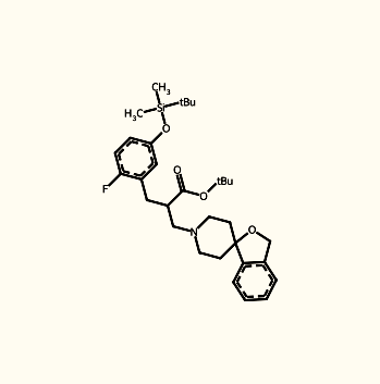 CC(C)(C)OC(=O)C(Cc1cc(O[Si](C)(C)C(C)(C)C)ccc1F)CN1CCC2(CC1)OCc1ccccc12